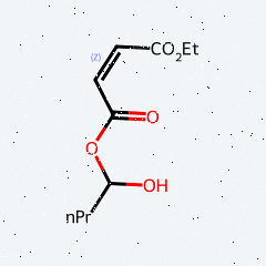 CCCC(O)OC(=O)/C=C\C(=O)OCC